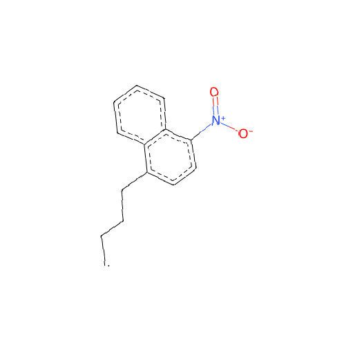 [CH2]CCCc1ccc([N+](=O)[O-])c2ccccc12